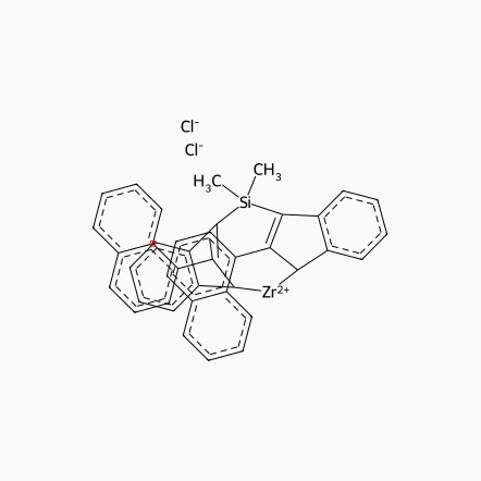 C[Si]1(C)C2=C(c3cccc4ccccc34)[CH]([Zr+2][CH]3C(c4cccc5ccccc45)=C1c1ccccc13)c1ccccc12.[Cl-].[Cl-]